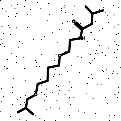 CC(C)COCCCCOCCNC(=O)CC(C)C